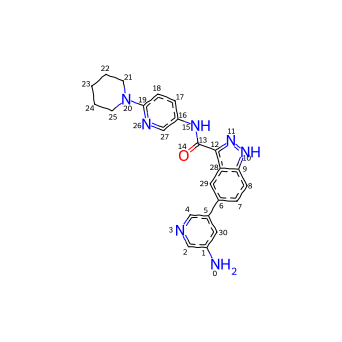 Nc1cncc(-c2ccc3[nH]nc(C(=O)Nc4ccc(N5CCCCC5)nc4)c3c2)c1